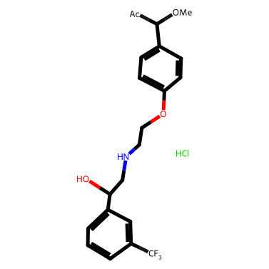 COC(C(C)=O)c1ccc(OCCNCC(O)c2cccc(C(F)(F)F)c2)cc1.Cl